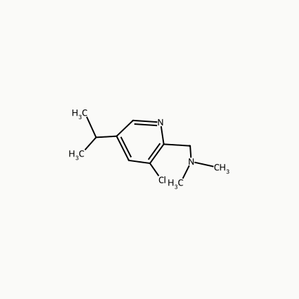 CC(C)c1cnc(CN(C)C)c(Cl)c1